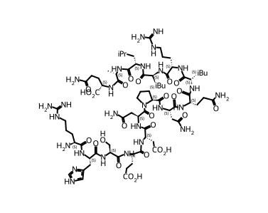 CC[C@H](C)[C@H](NC(=O)[C@H](CCCNC(=N)N)NC(=O)[C@@H](NC(=O)[C@H](CCC(N)=O)NC(=O)[C@H](CC(N)=O)NC(=O)[C@@H]1CCCN1C(=O)[C@H](CC(N)=O)NC(=O)[C@H](CC(=O)O)NC(=O)[C@H](CCC(=O)O)NC(=O)[C@H](CO)NC(=O)[C@H](Cc1c[nH]cn1)NC(=O)[C@@H](N)CCCNC(=N)N)[C@@H](C)CC)C(=O)N[C@@H](CC(C)C)C(=O)N[C@@H](C)C(=O)N[C@@H](CCC(N)=O)C(=O)O